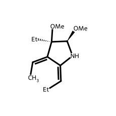 C/C=C1\C(=C/CC)N[C@H](OC)[C@]1(CC)OC